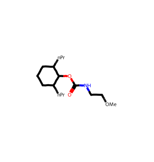 CCCC1CCCC(CCC)C1OC(=O)NCCOC